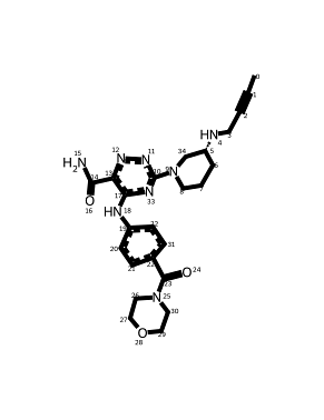 CC#CCN[C@@H]1CCCN(c2nnc(C(N)=O)c(Nc3ccc(C(=O)N4CCOCC4)cc3)n2)C1